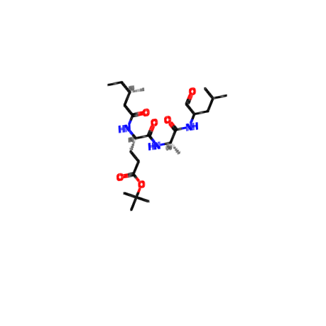 CC[C@H](C)CC(=O)N[C@@H](CCC(=O)OC(C)(C)C)C(=O)N[C@@H](C)C(=O)NC(C=O)CC(C)C